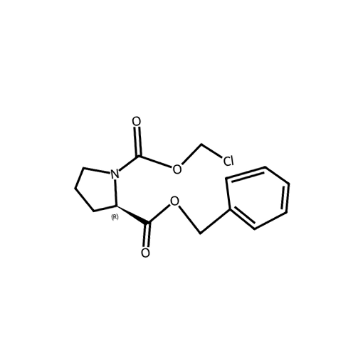 O=C(OCc1ccccc1)[C@H]1CCCN1C(=O)OCCl